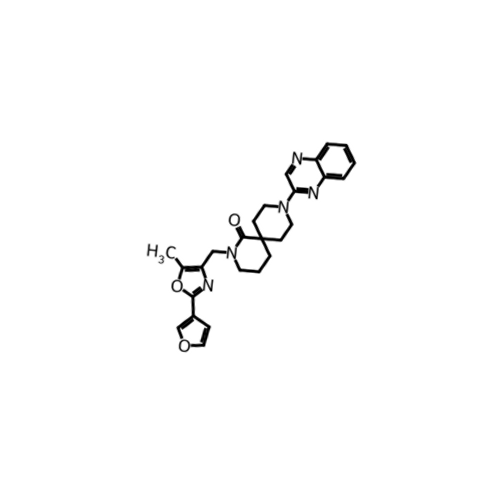 Cc1oc(-c2ccoc2)nc1CN1CCCC2(CCN(c3cnc4ccccc4n3)CC2)C1=O